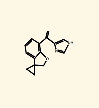 C=C(c1c[nH]cn1)c1cccc2c1OCC21CC1